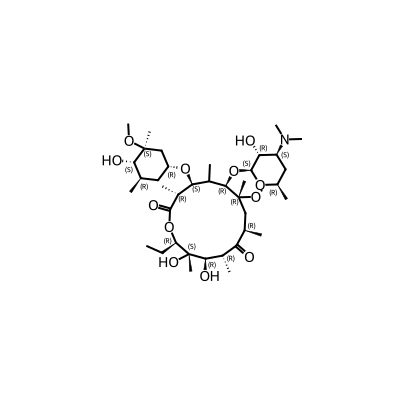 CC[C@H]1OC(=O)[C@H](C)[C@@H](O[C@@H]2C[C@@H](C)[C@H](O)[C@@](C)(OC)C2)C(C)[C@@H](O[C@@H]2O[C@H](C)C[C@H](N(C)C)[C@H]2O)[C@](C)(OC)C[C@@H](C)C(=O)[C@H](C)[C@@H](O)[C@]1(C)O